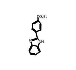 CCOC(=O)c1ccc(-c2nc3ccccc3[nH]2)cc1